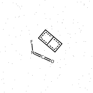 O=C=NF.c1cc2ccc1-2